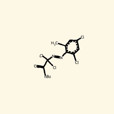 CCCCC(=O)C(Cl)(Cl)N=Nc1c(C)cc(Cl)cc1Cl